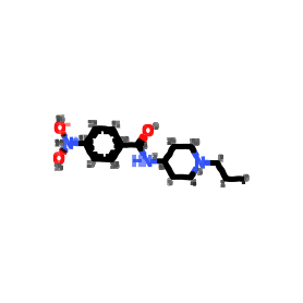 [CH2]CCN1CCC(NC(=O)c2ccc([N+](=O)[O-])cc2)CC1